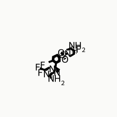 Cc1ccc(S(=O)(=O)N2CC[C@@H](F)[C@@H](N)C2)cc1-c1cnc2c(N)nc(C(F)(F)F)cn12